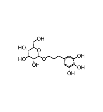 OCC1O[C@@H](OCCCc2cc(O)c(O)c(O)c2)[C@@H](O)C(O)[C@@H]1O